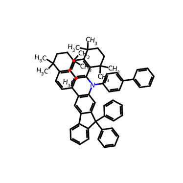 Cc1ccc2c(c1N(c1ccc(-c3ccccc3)cc1)c1cc3c(cc1-c1ccc4c(c1)C(C)(C)CCC4(C)C)-c1ccccc1C3(c1ccccc1)c1ccccc1)C(C)(C)CCC2(C)C